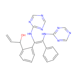 C=CC(O)c1ccccc1C(Nc1ncncn1)=C(Nc1ncncn1)c1ccccc1